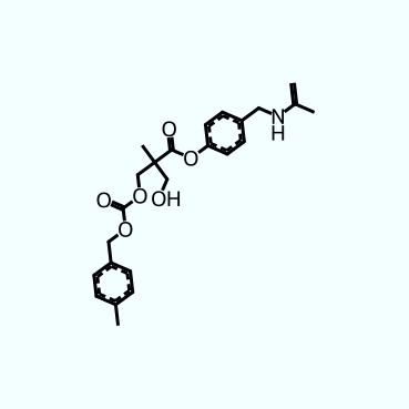 C=C(C)NCc1ccc(OC(=O)C(C)(CO)COC(=O)OCc2ccc(C)cc2)cc1